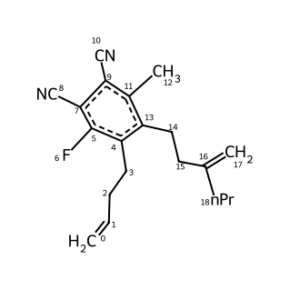 C=CCCc1c(F)c(C#N)c(C#N)c(C)c1CCC(=C)CCC